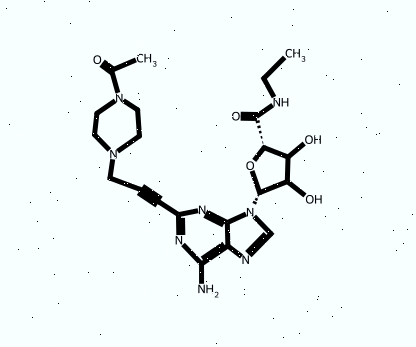 CCNC(=O)[C@H]1O[C@@H](n2cnc3c(N)nc(C#CCN4CCN(C(C)=O)CC4)nc32)C(O)C1O